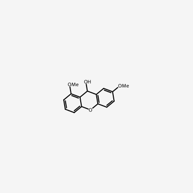 COc1ccc2c(c1)C(O)c1c(OC)cccc1O2